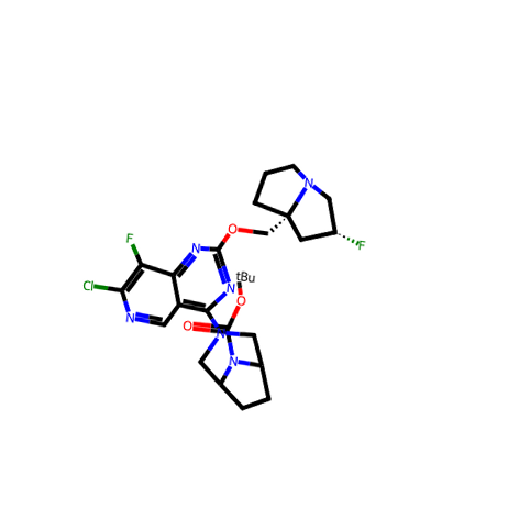 CC(C)(C)OC(=O)N1C2CCC1CN(c1nc(OC[C@]34CCCN3C[C@H](F)C4)nc3c(F)c(Cl)ncc13)C2